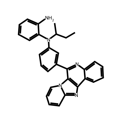 CCC(C)N(c1cccc(-c2nc3ccccc3c3nc4ccccn4c23)c1)c1ccccc1N